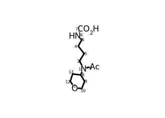 CC(=O)N(CCCCNC(=O)O)C1CCOCC1